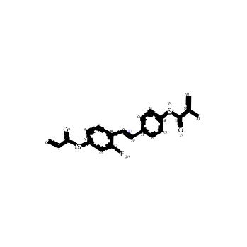 C=CC(=O)Sc1ccc(/C=C/c2ccc(SC(=O)C(=C)C)cc2)c(F)c1